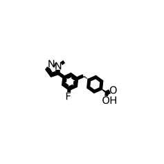 Cn1nccc1-c1cc(F)cc(C[C@H]2CC[C@H](C(=O)O)CC2)c1